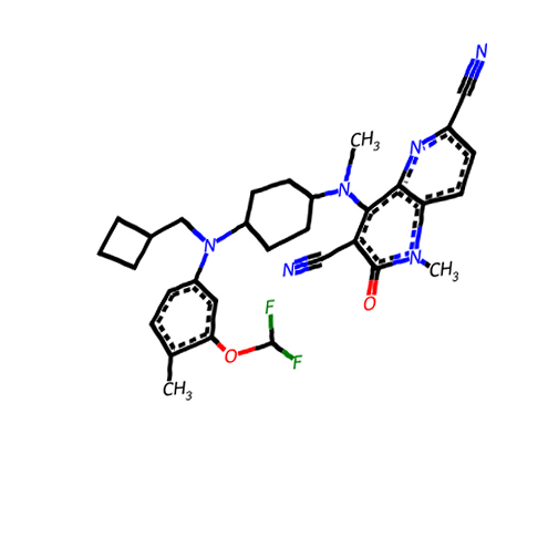 Cc1ccc(N(CC2CCC2)C2CCC(N(C)c3c(C#N)c(=O)n(C)c4ccc(C#N)nc34)CC2)cc1OC(F)F